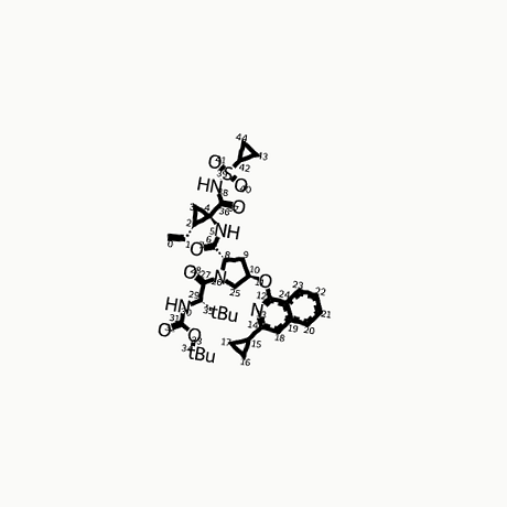 C=C[C@@H]1C[C@]1(NC(=O)[C@@H]1C[C@@H](Oc2nc(C3CC3)cc3ccccc23)CN1C(=O)[C@@H](NC(=O)OC(C)(C)C)C(C)(C)C)C(=O)NS(=O)(=O)C1CC1